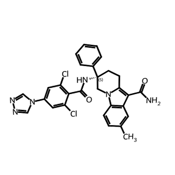 Cc1ccc2c(c1)c(C(N)=O)c1n2C[C@@](NC(=O)c2c(Cl)cc(-n3cnnc3)cc2Cl)(c2ccccc2)CC1